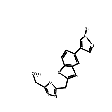 CCn1cc(-c2ccc3sc(Cc4nnc(CC(=O)O)o4)nc3c2)cn1